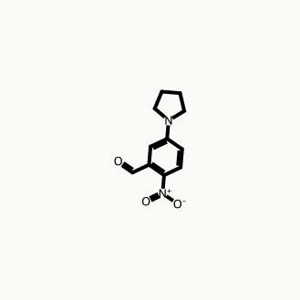 O=Cc1cc(N2CCCC2)ccc1[N+](=O)[O-]